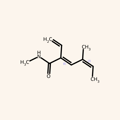 C=C/C(=C\C(C)=C/C)C(=O)NC